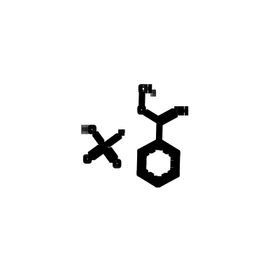 COC(=N)c1ccccc1.O=S(=O)(O)F